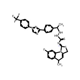 CC1C=C2CS/C(=N\C(=S)NNC(C)c3ccc(-c4ncn(-c5ccc(C(F)(F)F)cc5)n4)cc3)N2c2cc(F)ccc21